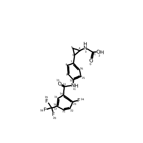 O=C(O)NC1CC1c1ccc(NC(=O)c2cc(C(F)(F)F)ccc2F)cc1